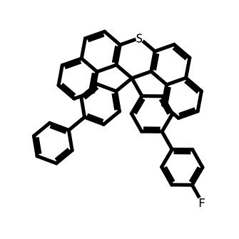 Fc1ccc(-c2ccc(C3(c4ccc(-c5ccccc5)cc4)c4c(ccc5ccccc45)Sc4ccc5ccccc5c43)cc2)cc1